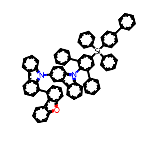 c1ccc(-c2ccc([Si](c3ccccc3)(c3ccccc3)c3cc(-c4ccccc4)c(-n4c5ccccc5c5cc(-n6c7ccccc7c7cccc(-c8cccc9oc%10ccccc%10c89)c76)ccc54)c(-c4ccccc4)c3)cc2)cc1